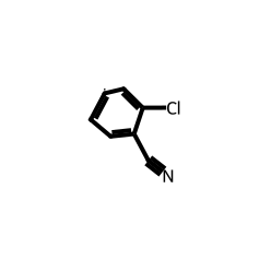 N#Cc1cc[c]cc1Cl